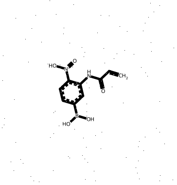 C=CC(=O)Nc1cc(B(O)O)ccc1[N+](=O)O